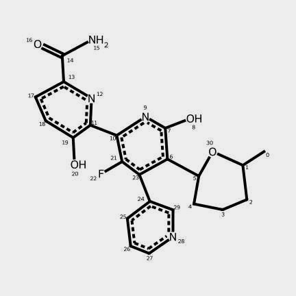 CC1CCCC(c2c(O)nc(-c3nc(C(N)=O)ccc3O)c(F)c2-c2cccnc2)O1